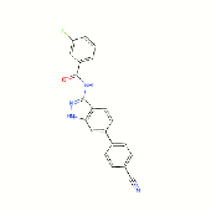 N#Cc1ccc(-c2ccc3c(NC(=O)c4cccc(F)c4)n[nH]c3c2)cc1